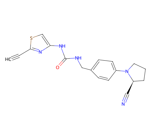 C#Cc1nc(NC(=O)NCc2ccc(N3CCC[C@H]3C#N)cc2)cs1